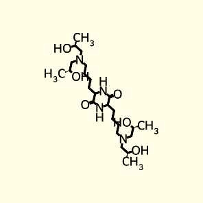 C[C@H](O)CN(CCCCC1NC(=O)C(CCCCN(C[C@@H](C)O)C[C@@H](C)O)NC1=O)C[C@@H](C)O